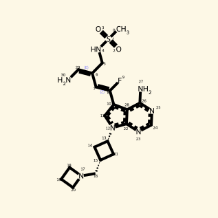 CS(=O)(=O)NCC(/C=C(\F)c1cn([C@H]2C[C@@H](CN3CCC3)C2)c2ncnc(N)c12)=C/N